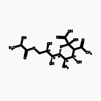 CC(=O)C1[C@H](O)[C@@H](N)[C@H]([C@H](O)[C@H](O)COC(=O)C(C)O)OC1(O)C(=O)O